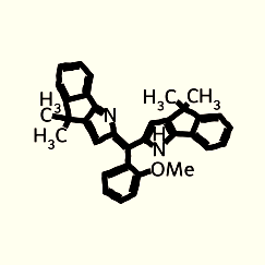 COc1ccccc1/C(=C1\C=C2C(=N1)c1ccccc1C2(C)C)c1cc2c([nH]1)-c1ccccc1C2(C)C